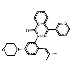 CC(C)=Cc1ccc(N2CCOCC2)cc1-n1nc(-c2ccccc2)c2ccccc2c1=O